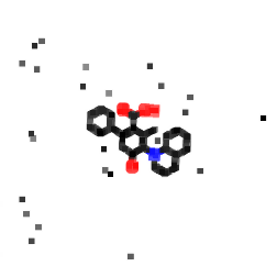 CC1=C(N2C=CC=C3C=CC=CC32)C(=O)CC(c2ccccc2)=C1C(=O)O